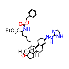 CCOC(=O)C(CCCC[C@H]1C[C@]2(C)C(=O)CC[C@H]2[C@@H]2CCC3=CC(=NNC4=NCCN4)CCC3=C12)NC(=O)OCc1ccccc1